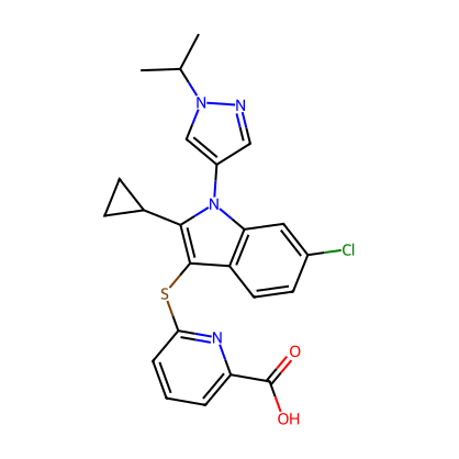 CC(C)n1cc(-n2c(C3CC3)c(Sc3cccc(C(=O)O)n3)c3ccc(Cl)cc32)cn1